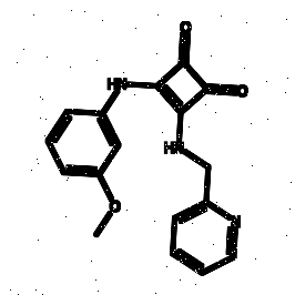 COc1cccc(Nc2c(NCc3ccccn3)c(=O)c2=O)c1